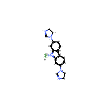 C1=NCCN1c1ccc2c(c1)[nH]c1cc(N3C=NCC3)ccc12.Cl.Cl